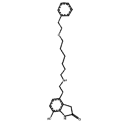 O=C1Cc2c(CCNCCCCCCOCCc3ccccc3)ccc(O)c2N1